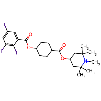 CN1C(C)(C)CC(OC(=O)C2CCC(OC(=O)c3cc(I)cc(I)c3I)CC2)CC1(C)C